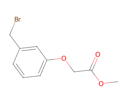 COC(=O)COc1cccc(CBr)c1